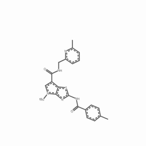 Cc1ccc(C(=O)Nc2nc3c(s2)c(C(=O)NCc2cccc(C)n2)cn3C(C)(C)C)cc1